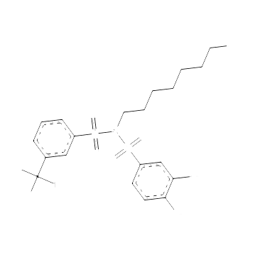 CCCCCCCCN(S(=O)(=O)c1cccc(C(F)(F)F)c1)S(=O)(=O)c1ccc(O)c(O)c1